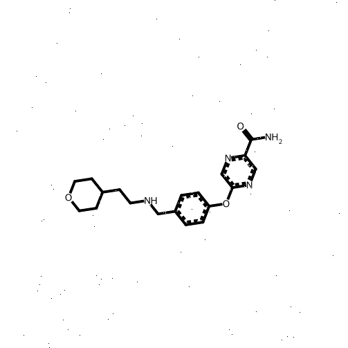 NC(=O)c1cnc(Oc2ccc(CNCCC3CCOCC3)cc2)cn1